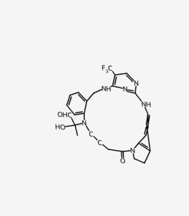 CC(O)(C=O)N1CCCC(=O)N2CCc3cc(ccc32)Nc2ncc(C(F)(F)F)c(n2)NCc2ccccc21